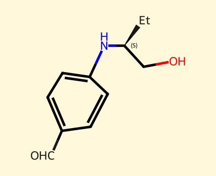 CC[C@@H](CO)Nc1ccc(C=O)cc1